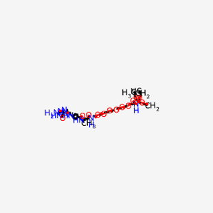 C#CCOCC(COCC=C)(COCC(=C)C)NC(=O)CCOCCOCCOCCOCCOCCOCCNC(=O)CC[C@@H](C)NC(=O)c1ccc(NCc2cnc3nc(N)[nH]c(=O)c3n2)cc1